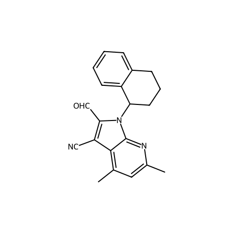 Cc1cc(C)c2c(C#N)c(C=O)n(C3CCCc4ccccc43)c2n1